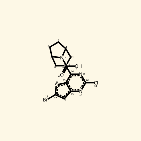 O=C(O)N1C2CCC1CN(c1nc(Cl)nc3cc(Br)sc13)C2